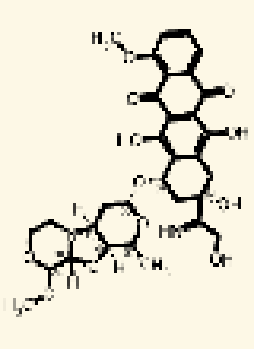 COc1cccc2c1C(=O)c1c(O)c3c(c(O)c1C2=O)C[C@@](O)(C(=N)CO)C[C@@H]3O[C@H]1C[C@H]2[C@H](O[C@@H]3[C@@H](OC)OCCN32)[C@H](C)O1